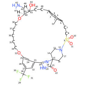 Cc1cc2ccc1CCS(=O)(=O)N1CCC3(CC1)N=C(NC3=O)c1cc(cc(C(F)(F)F)c1)OCCCCCO[C@@H](CN)[C@@H](O)CC2